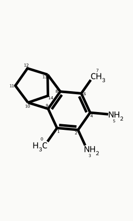 Cc1c(N)c(N)c(C)c2c1C1CCC2C1